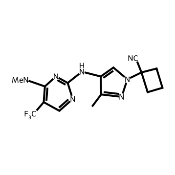 CNc1nc(Nc2cn(C3(C#N)CCC3)nc2C)ncc1C(F)(F)F